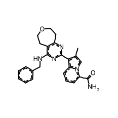 Cc1cn2c(C(N)=O)cccc2c1-c1nc2c(c(NCc3ccccc3)n1)CCOCC2